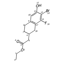 CCOC(=O)CC1CCc2cc(O)c(Br)c(F)c2C1